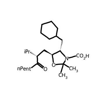 CCCCCC(=O)[C@@H](C[C@@H]1OC(C)(C)N(C(=O)O)[C@H]1CC1CCCCC1)C(C)C